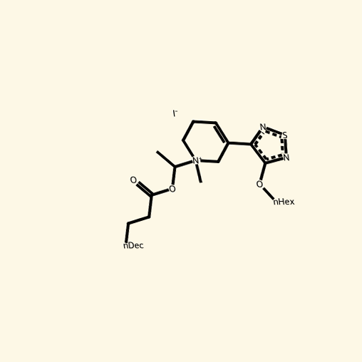 CCCCCCCCCCCCC(=O)OC(C)[N+]1(C)CCC=C(c2nsnc2OCCCCCC)C1.[I-]